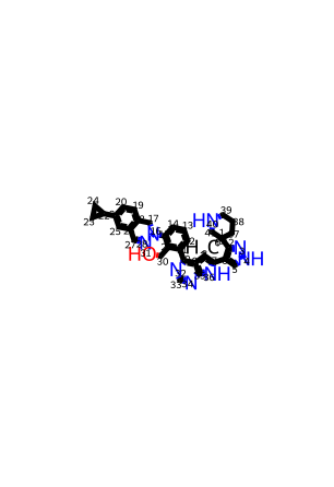 C[C@]1(c2n[nH]cc2-c2cc3c(-c4cccc(N5Cc6ccc(C7CC7)cc6C=N5)c4CO)ncnc3[nH]2)CCCNC1